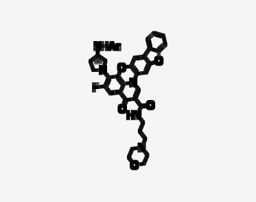 CC(=O)N[C@@H]1CCN(c2c(F)cc3c(=O)c(C(=O)NCCCN4CCOCC4)cn4c3c2Oc2cc3c(cc2-4)oc2ccccc23)C1